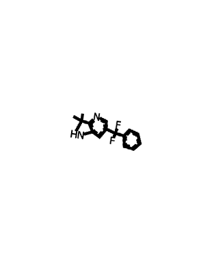 CC1(C)CNc2cc(C(F)(F)c3ccccc3)cnc21